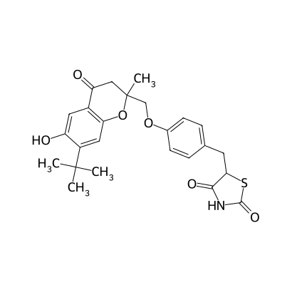 CC1(COc2ccc(CC3SC(=O)NC3=O)cc2)CC(=O)c2cc(O)c(C(C)(C)C)cc2O1